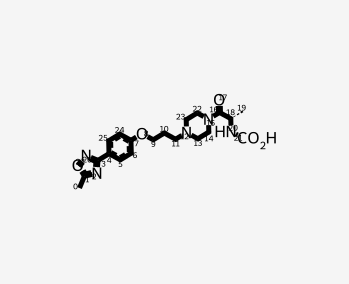 Cc1nc(-c2ccc(OCCCN3CCN(C(=O)[C@H](C)NC(=O)O)CC3)cc2)no1